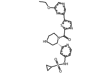 CCOc1cncc(-c2cnc(C(=O)N3CCNC[C@H]3c3cc(NS(=O)(=O)C4CC4)ccn3)s2)n1